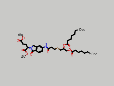 CCCCCCCCCCCCCCCC(=O)OCC(CSCCC(=O)Nc1ccc2c(c1)CN(C(CCC(=O)OC(C)(C)C)C(=O)OC(C)(C)C)C2=O)OC(=O)CCCCCCCCCCCCCCC